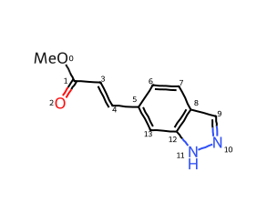 COC(=O)C=Cc1ccc2cn[nH]c2c1